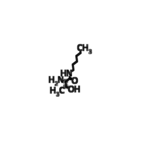 CCCCCCNC(=O)[C@@H](N)[C@@H](C)O